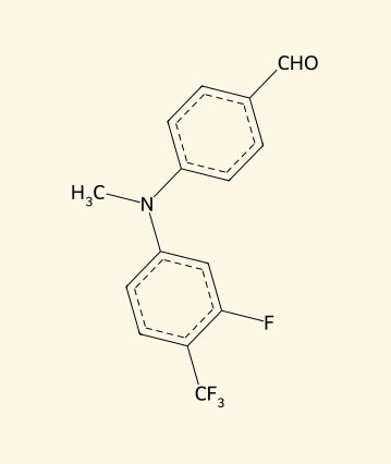 CN(c1ccc(C=O)cc1)c1ccc(C(F)(F)F)c(F)c1